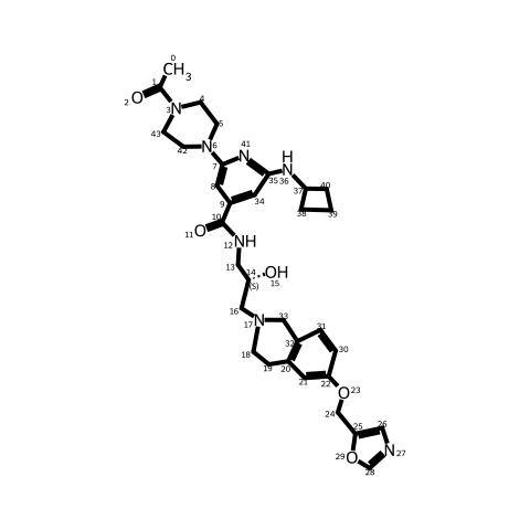 CC(=O)N1CCN(c2cc(C(=O)NC[C@H](O)CN3CCc4cc(OCc5cnco5)ccc4C3)cc(NC3CCC3)n2)CC1